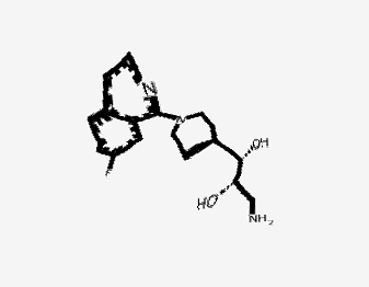 NC[C@H](O)[C@@H](O)C1CCN(c2nccc3ccc(F)cc23)CC1